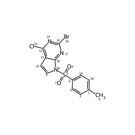 Cc1ccc(S(=O)(=O)n2ccc3c(Cl)nc(Br)nc32)cc1